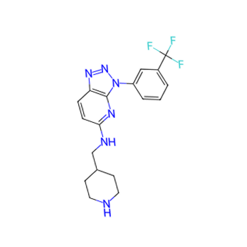 FC(F)(F)c1cccc(-n2nnc3ccc(NCC4CCNCC4)nc32)c1